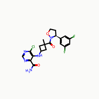 CC1(C(=O)N2OCC[C@H]2c2cc(F)cc(F)c2)CC(Nc2c(Cl)ncnc2C(N)=O)C1